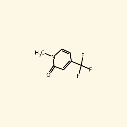 Cn1ccc(C(F)(F)F)cc1=O